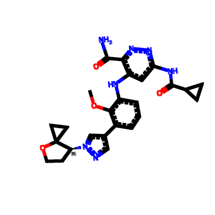 COc1c(Nc2cc(NC(=O)C3CC3)nnc2C(N)=O)cccc1-c1cnn([C@@H]2CCOC23CC3)c1